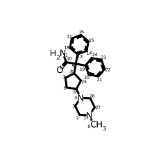 CN1CCN(C2CCC(C(C(N)=O)(c3ccccc3)c3ccccc3)C2)CC1